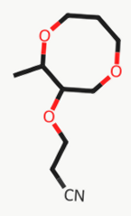 CC1OCCCOCC1OCCC#N